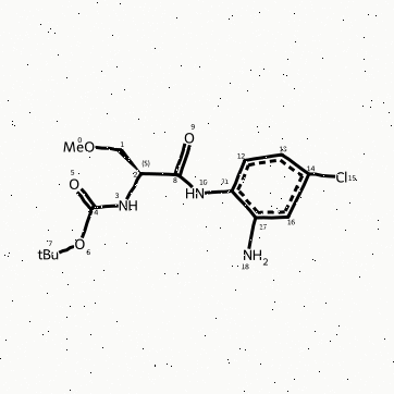 COC[C@H](NC(=O)OC(C)(C)C)C(=O)Nc1ccc(Cl)cc1N